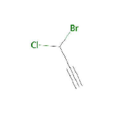 C#CC(Cl)Br